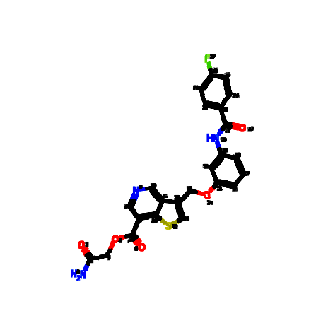 NC(=O)COC(=O)c1cncc2c(COc3cccc(NC(=O)c4ccc(F)cc4)c3)csc12